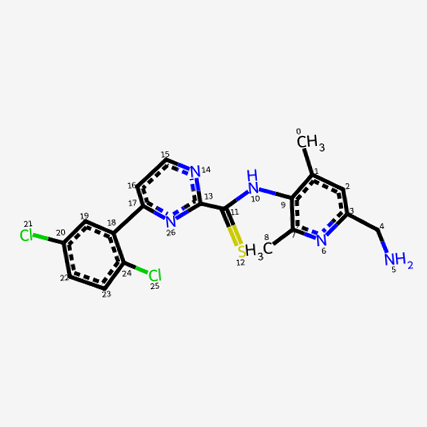 Cc1cc(CN)nc(C)c1NC(=S)c1nccc(-c2cc(Cl)ccc2Cl)n1